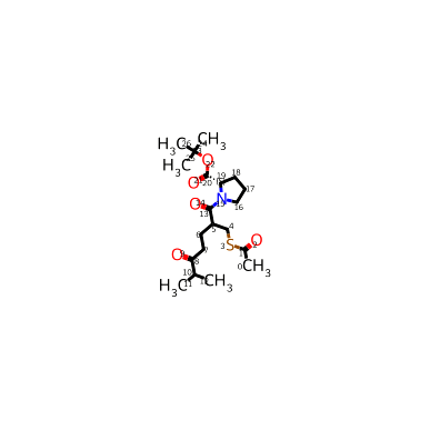 CC(=O)SCC(CCC(=O)C(C)C)C(=O)N1CCC[C@H]1C(=O)OC(C)(C)C